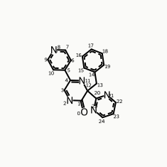 O=C1N=CC(c2ccncc2)=NC1(Cc1ccccc1)c1ncccn1